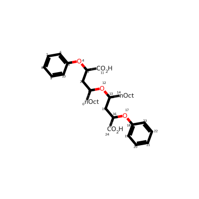 CCCCCCCCC(CC(Oc1ccccc1)C(=O)O)OC(CCCCCCCC)CC(Oc1ccccc1)C(=O)O